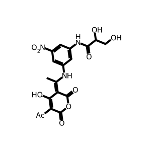 CC(=O)C1=C(O)/C(=C(\C)Nc2cc(NC(=O)C(O)CO)cc([N+](=O)[O-])c2)C(=O)OC1=O